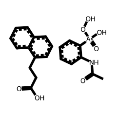 CC(=O)Nc1ccccc1[As](=O)(O)OO.O=C(O)CCc1cccc2ccccc12